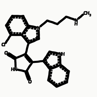 CNCCCn1cc(C2=C(c3c[nH]c4ccccc34)C(=O)NC2=O)c2c(Cl)cccc21